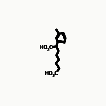 Cc1cccc(C(CCCCCC(=O)O)C(=O)O)c1